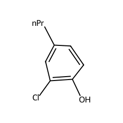 [CH2]CCc1ccc(O)c(Cl)c1